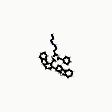 C=C/C=C\C=C/Cc1nc(-c2ccccc2)nc(-c2c(-c3ccc4c(c3)oc3ccccc34)ccc3oc4ccccc4c23)n1